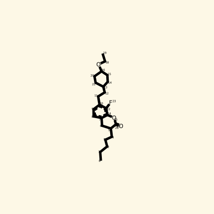 CCCCCC1Cc2ccc(CCC3CCC(OCC)CC3)c(F)c2OC1=O